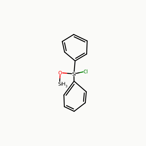 [SiH3]O[Si](Cl)(c1ccccc1)c1ccccc1